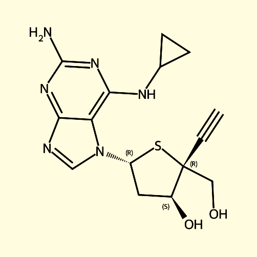 C#C[C@]1(CO)S[C@@H](n2cnc3nc(N)nc(NC4CC4)c32)C[C@@H]1O